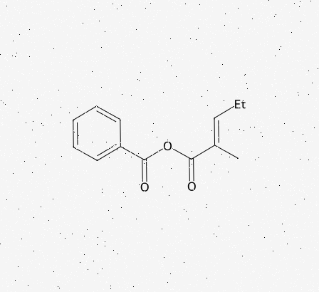 CCC=C(C)C(=O)OC(=O)c1ccccc1